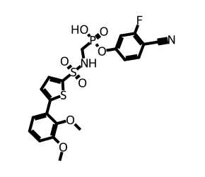 COc1cccc(-c2ccc(S(=O)(=O)NCP(=O)(O)Oc3ccc(C#N)c(F)c3)s2)c1OC